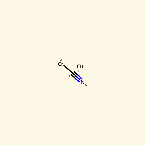 N#[C][Cr].[Cu]